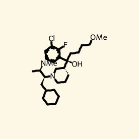 CN[C@H](C)[C@H](CC1CCCCC1)N1CCC[C@@H]([C@@](O)(CCCCOC)c2cccc(Cl)c2F)C1